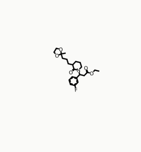 CCOC(=O)CC(c1cccc(F)c1)N1CCCC(CCCC2(C)OCCO2)C1=O